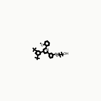 COc1ccccc1-c1cc(-c2cc(C(C)(C)C)cc(C(C)(C)C)c2)cc(-c2cccc(BOC(C)(C)C(C)(C)O)c2)n1